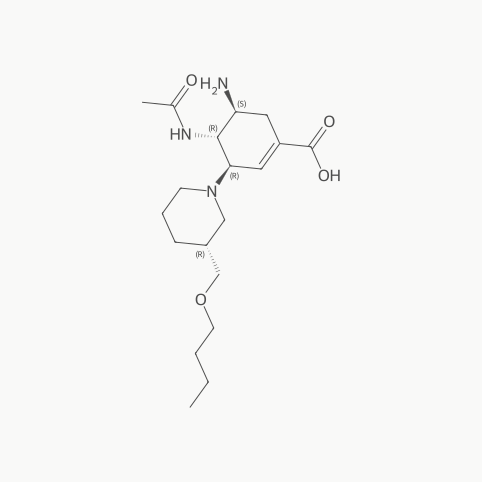 CCCCOC[C@@H]1CCCN([C@@H]2C=C(C(=O)O)C[C@H](N)[C@H]2NC(C)=O)C1